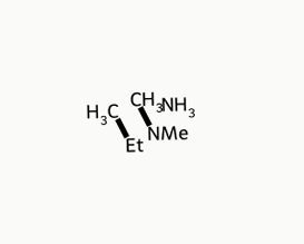 CCC.CNC.N